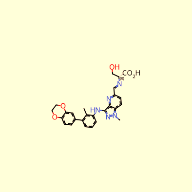 Cc1c(Nc2nn(C)c3ccc(C=N[C@H](CO)C(=O)O)nc23)cccc1-c1ccc2c(c1)OCCO2